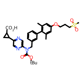 Cc1cc(OCCCS(C)(=O)=O)cc(C)c1-c1cccc(CN(C(=O)OC(C)(C)C)c2cnc(C3CC3C(=O)O)cn2)c1